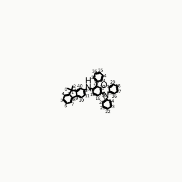 CC1(C)c2ccccc2-c2ccc(Nc3ccc(N(c4ccccc4)c4ccccc4)c4oc5ccccc5c34)cc21